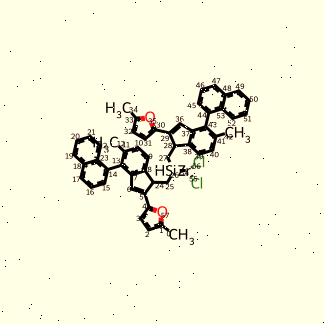 Cc1ccc(C2=Cc3c(ccc(C)c3-c3cccc4ccccc34)C2C[SiH](CC2C(c3ccc(C)o3)=Cc3c2ccc(C)c3-c2cccc3ccccc23)[Zr]([Cl])[Cl])o1